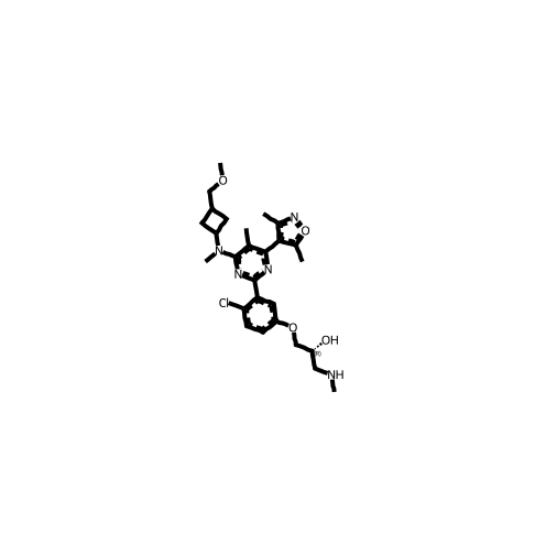 CNC[C@@H](O)COc1ccc(Cl)c(-c2nc(-c3c(C)noc3C)c(C)c(N(C)C3CC(COC)C3)n2)c1